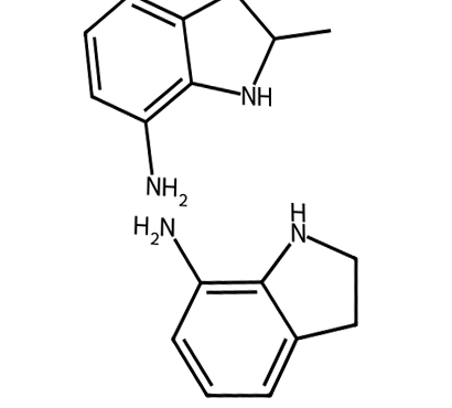 CC1Cc2cccc(N)c2N1.Nc1cccc2c1NCC2